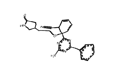 N#CC1C=CC=CC1(OCCC1CNC(=O)C1)c1nc(N)nc(-c2ccccc2)n1